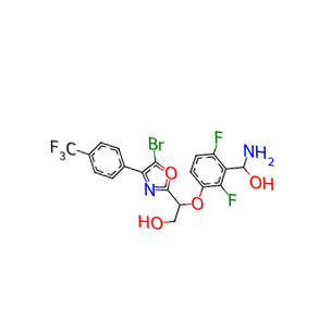 NC(O)c1c(F)ccc(OC(CO)c2nc(-c3ccc(C(F)(F)F)cc3)c(Br)o2)c1F